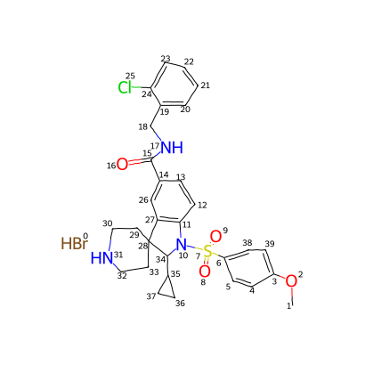 Br.COc1ccc(S(=O)(=O)N2c3ccc(C(=O)NCc4ccccc4Cl)cc3C3(CCNCC3)C2C2CC2)cc1